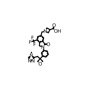 Cn1cnnc1CC1(c2cccc(N3Cc4c(cc(CN5CC(C(=O)O)C5)cc4C(F)(F)F)C3=O)c2)COC1